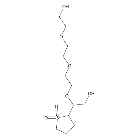 O=S1(=O)CCCC1C(CO)OCCOCCOCCO